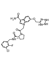 NC(=O)c1cn(CC(=O)N2CCC[C@H]2C(=O)NCc2cccc(Cl)c2F)c2cc(OCC3=NNNN3)ccc12